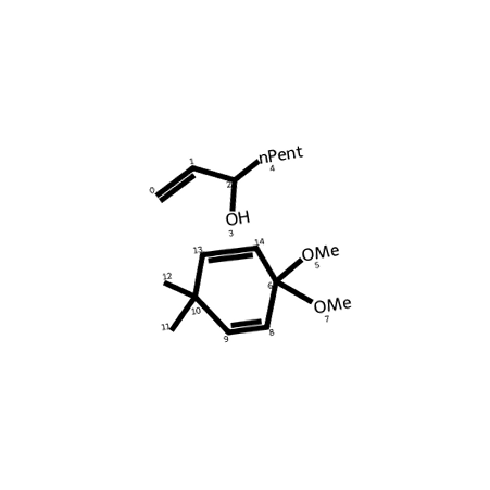 C=CC(O)CCCCC.COC1(OC)C=CC(C)(C)C=C1